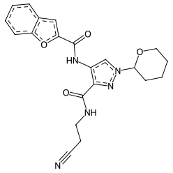 N#CCCNC(=O)c1nn(C2CCCCO2)cc1NC(=O)c1cc2ccccc2o1